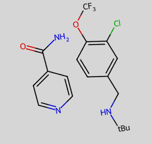 CC(C)(C)NCc1ccc(OC(F)(F)F)c(Cl)c1.NC(=O)c1ccncc1